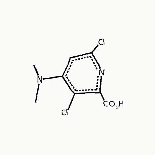 CN(C)c1cc(Cl)nc(C(=O)O)c1Cl